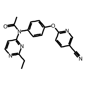 CCc1nccc(N(C(C)=O)c2ccc(Oc3ccc(C#N)cn3)cc2)n1